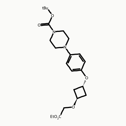 CCOC(=O)CO[C@H]1C[C@H](Oc2ccc(N3CCN(C(=O)OC(C)(C)C)CC3)cc2)C1